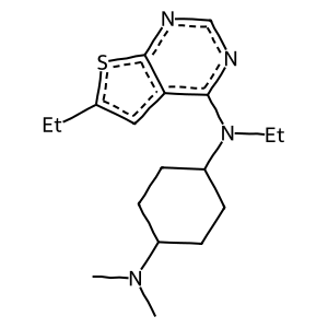 CCc1cc2c(N(CC)C3CCC(N(C)C)CC3)ncnc2s1